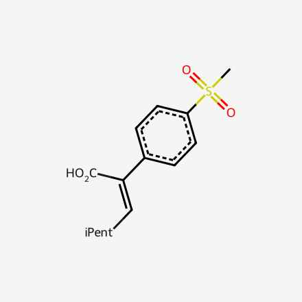 CCCC(C)C=C(C(=O)O)c1ccc(S(C)(=O)=O)cc1